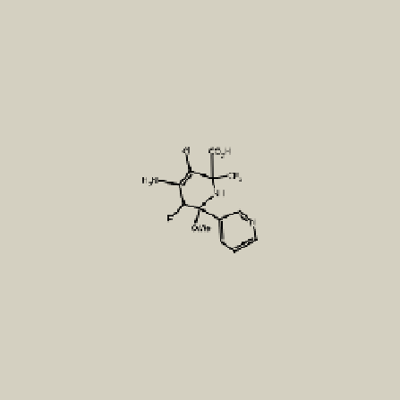 COC1(c2cccnc2)NC(C(=O)O)(C(F)(F)F)C(Cl)=C(N)C1F